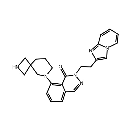 O=c1c2c(N3CCCC4(CNC4)C3)cccc2cnn1CCc1cn2ccccc2n1